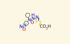 CN(C)C(=O)N1CCC(N(C(=O)Nc2ncc(SCC(=O)O)s2)C2CCCCC2)CC1